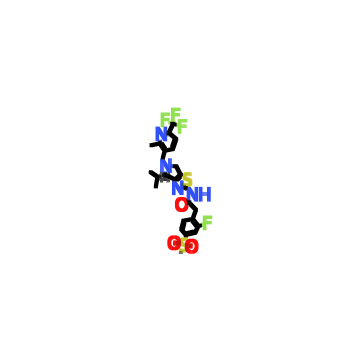 Cc1nc(C(F)(F)F)ccc1CN1Cc2sc(NC(=O)Cc3ccc(S(C)(=O)=O)cc3F)nc2[C@@H]1C(C)C